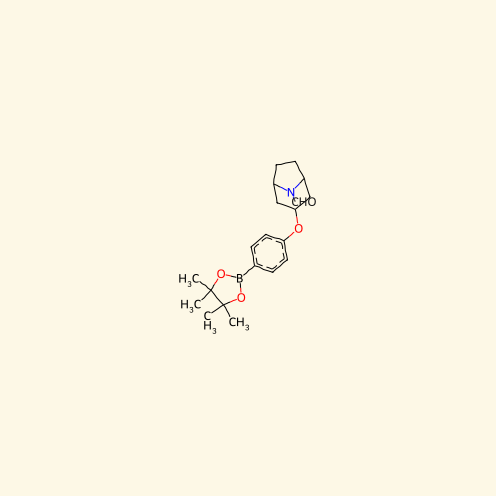 CC1(C)OB(c2ccc(OC3CC4CCC(C3)N4C=O)cc2)OC1(C)C